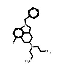 CCCN(CCC)[C@H]1Cc2c(I)ccc3c2[C@H](C1)CN3Cc1ccccc1